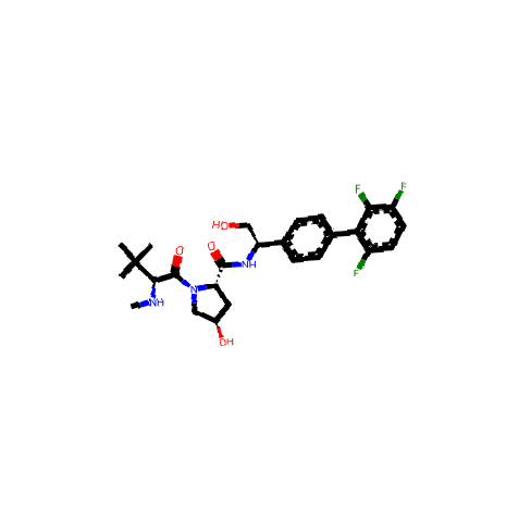 CN[C@H](C(=O)N1C[C@H](O)C[C@H]1C(=O)N[C@@H](CO)c1ccc(-c2c(F)ccc(F)c2F)cc1)C(C)(C)C